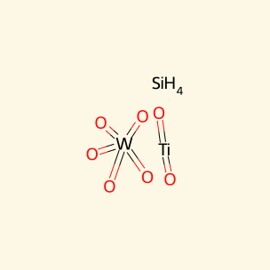 [O]=[Ti]=[O].[O]=[W](=[O])(=[O])(=[O])=[O].[SiH4]